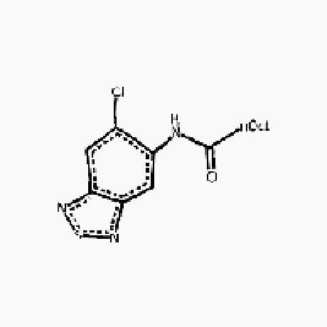 CCCCCCCCC(=O)Nc1cc2nsnc2cc1Cl